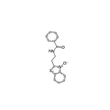 O=C(NCCc1sc2ccccc2[n+]1[O-])c1ccccc1